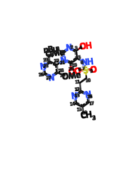 CCCCc1nc(O)c(NS(=O)(=O)CCc2ncc(C)cn2)c(=O)n1-c1c(OC)ncnc1OC